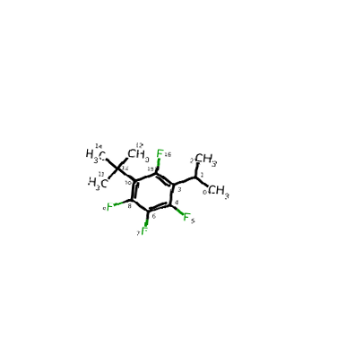 CC(C)c1c(F)c(F)c(F)c(C(C)(C)C)c1F